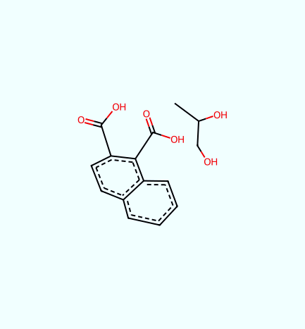 CC(O)CO.O=C(O)c1ccc2ccccc2c1C(=O)O